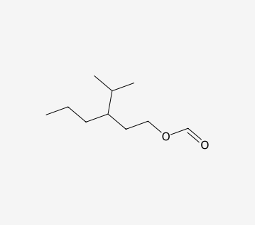 CCCC(CCOC=O)C(C)C